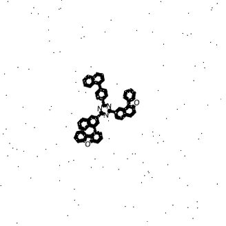 c1ccc2c(-c3ccc(-c4nc(-c5cc(-c6cccc7oc8ccccc8c67)c6ccccc6c5)nc(-c5ccc6ccc7oc8ccccc8c7c6c5)n4)cc3)cccc2c1